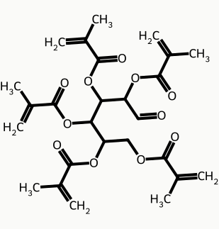 C=C(C)C(=O)OCC(OC(=O)C(=C)C)C(OC(=O)C(=C)C)C(OC(=O)C(=C)C)C(C=O)OC(=O)C(=C)C